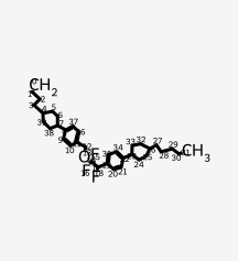 C=CCCC1CCC(c2ccc(COC(F)(F)C(F)c3ccc(C4CCC(CCCCC)CC4)cc3)cc2)CC1